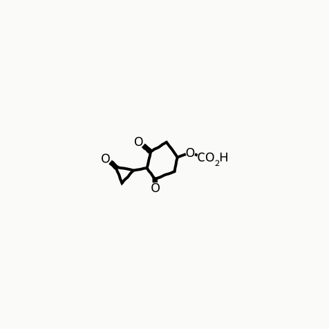 O=C(O)OC1CC(=O)C(C2CC2=O)C(=O)C1